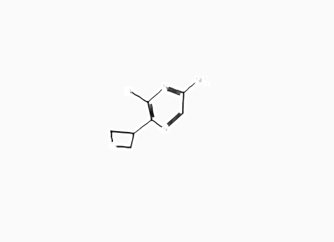 Nc1cnc(C2COC2)c(Cl)n1